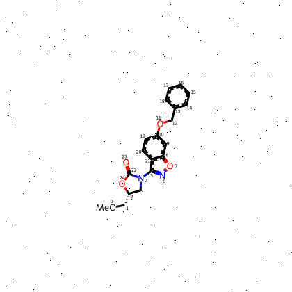 COC[C@H]1CN(c2noc3cc(OCc4ccccc4)ccc23)C(=O)O1